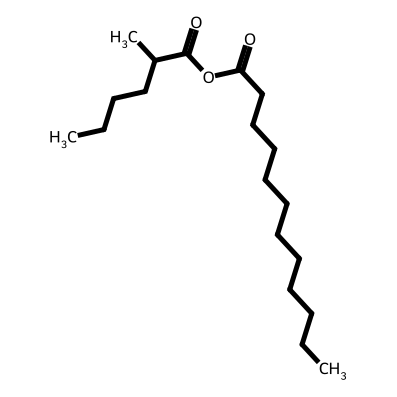 CCCCCCCCCCCC(=O)OC(=O)C(C)CCCC